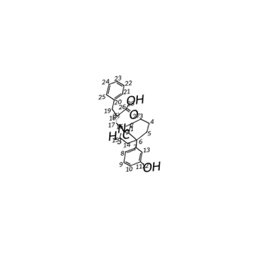 CC1C2CCCC1(c1cccc(O)c1)CCN2C[C@H](Cc1ccccc1)C(=O)O